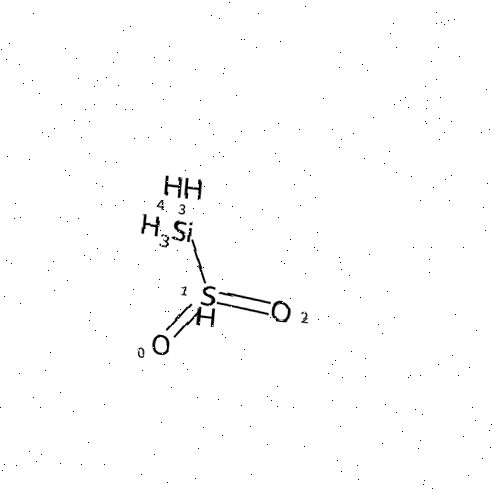 O=[SH](=O)[SiH3].[HH]